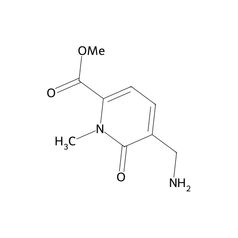 COC(=O)c1ccc(CN)c(=O)n1C